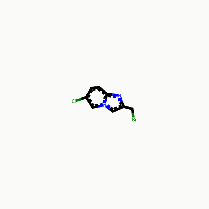 Clc1ccc2nc(CBr)cn2c1